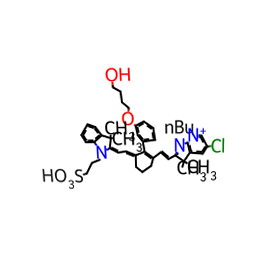 CCCC[n+]1cc(Cl)cc2c1N=C(/C=C/C1=C(c3cccc(OCCCCO)c3)C(=C/C=C3/N(CCCS(=O)(=O)O)c4ccccc4C3(C)C)/CCC1)C2(C)C